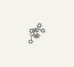 c1ccc(-c2cc3c(c(-c4ccccc4)c2)C2(c4ccccc4Oc4ccccc42)c2c(cccc2-c2ccc4c(c2)c2ccccc2n4-c2ccccc2)O3)cc1